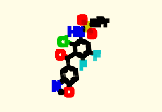 CCCS(=O)(=O)Nc1cc(F)c(F)c(C(=O)c2ccc3ocnc3c2)c1Cl